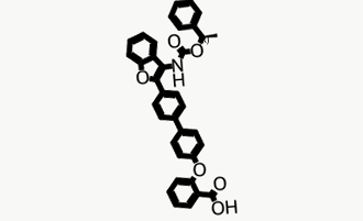 C[C@@H](OC(=O)Nc1c(-c2ccc(-c3ccc(Oc4ccccc4C(=O)O)cc3)cc2)oc2ccccc12)c1ccccc1